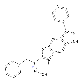 O/N=C(/Cc1ccccc1)c1cc2cc3c(-c4ccncc4)n[nH]c3cc2[nH]1